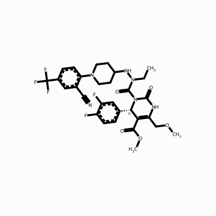 CCN(NC1CCN(c2ccc(C(F)(F)F)cc2C#N)CC1)C(=O)N1C(=O)NC(COC)=C(C(=O)OC)[C@@H]1c1ccc(F)c(F)c1